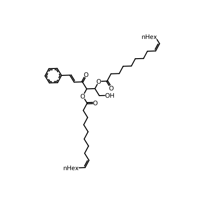 CCCCCC/C=C\CCCCCCCC(=O)OC(CO)C(OC(=O)CCCCCCC/C=C\CCCCCC)C(=O)C=Cc1ccccc1